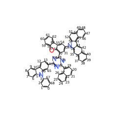 c1ccc(-n2c3ccccc3c3ccc(-c4nc(-c5cccc6ccccc56)nc(-c5cc(-n6c7cc8ccccc8cc7c7c8ccccc8ccc76)cc6c5oc5ccccc56)n4)cc32)cc1